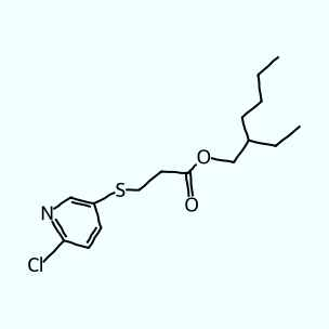 CCCCC(CC)COC(=O)CCSc1ccc(Cl)nc1